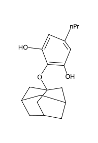 CCCc1cc(O)c(OC23CC4CC(CC(C4)C2)C3)c(O)c1